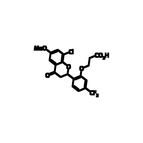 COc1cc(Cl)c2c(c1)C(=O)CC(c1ccc(C(F)(F)F)cc1OCCC(=O)O)O2